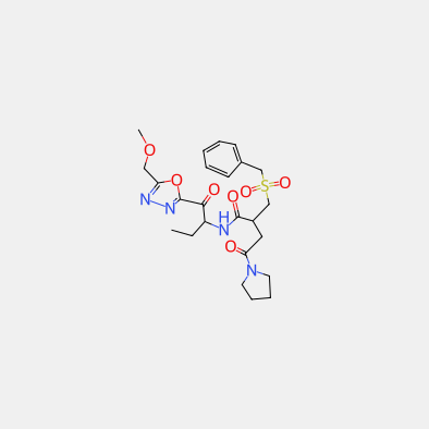 CCC(NC(=O)C(CC(=O)N1CCCC1)CS(=O)(=O)Cc1ccccc1)C(=O)c1nnc(COC)o1